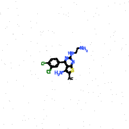 CC(=O)c1sc2nc(NCCN)nc(-c3ccc(Cl)c(Cl)c3)c2c1N